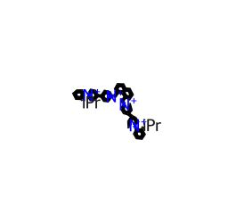 CC(C)c1ccccc1-[n+]1ccc(-c2cc[n+](Cc3cccc4cccc(C[n+]5ccc(-c6cc[n+](-c7ccccc7C(C)C)cc6)cc5)c34)cc2)cc1